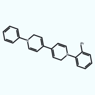 CC(C)c1ccccc1N1C=CC(C2=CCN(c3ccccc3)C=C2)=CC1